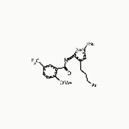 COc1ccc(C(F)(F)F)cc1C(=O)N=c1sn(C(C)(C)C)cc1CCCC(C)=O